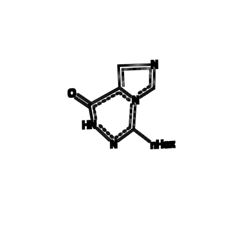 CCCCCCc1n[nH]c(=O)c2cncn12